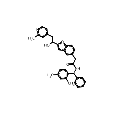 Cc1ccc([C@@H](NC(=O)Cc2ccc3oc(C(O)Cc4ccnc(C)c4)cc3c2)c2ccccc2)c(C)c1